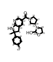 CC1(c2ccc(F)cc2)Cc2cc(C(=O)N3CC[C@H](N4CCOC4O)C3)cnc2N1